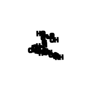 CO/N=C1\C[C@@H]2[C@H](CC[C@]3(C)C(=O)CC[C@@H]23)[C@@]2(C)CCC(=NO[C@H]3CCNC3)CC12.O=C(O)/C=C/C(=O)O